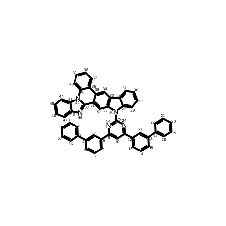 c1ccc(-c2cccc(-c3cc(-c4cccc(-c5ccccc5)c4)nc(-n4c5ccccc5c5cc6c7ccccc7n7c8ccccc8nc7c6cc54)n3)c2)cc1